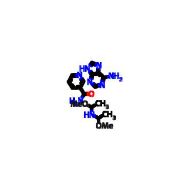 COC(C)NC(C)OC.NC(=O)c1cccnc1.Nc1ncnc2[nH]cnc12